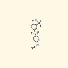 FC(F)(F)c1cc(C(F)(F)c2ccc(N=C=S)cc2)ccc1Cl